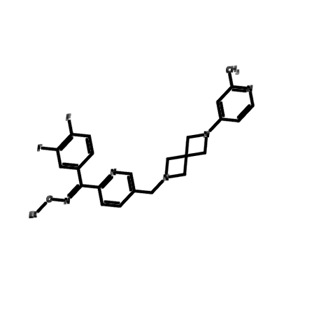 CCON=C(c1ccc(F)c(F)c1)c1ccc(CN2CC3(C2)CN(c2ccnc(C)c2)C3)cn1